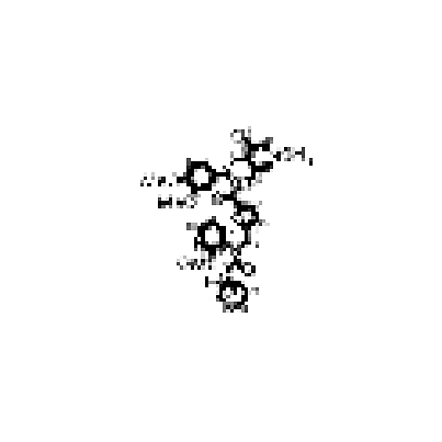 COc1ccc([C@H](Cc2c(Cl)c[n+](C)cc2Cl)OC(=O)c2ccc(CN(C(=O)O[C@H]3CN4CCC3CC4)c3cccnc3OC)s2)cc1OC